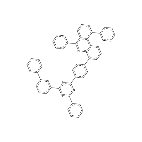 c1ccc(-c2cccc(-c3nc(-c4ccccc4)nc(-c4ccc(-c5cccc6c5nc(-c5ccccc5)c5cccc(-c7ccccc7)c56)cc4)n3)c2)cc1